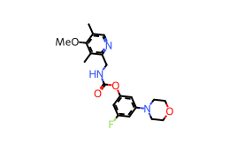 COc1c(C)cnc(CNC(=O)Oc2cc(F)cc(N3CCOCC3)c2)c1C